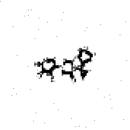 O=C1CN(c2cn[nH]c(=O)c2Cl)CCN1C1(c2ccccc2)CC1